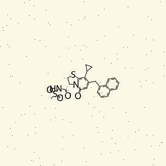 CS(=O)(=O)NC(=O)[C@@H]1CSc2c(C3CC3)c(Cc3cccc4ccccc34)cc(=O)n21